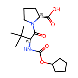 CC(C)(C)[C@H](NC(=O)OC1CCCC1)C(=O)N1CCC[C@H]1C(=O)O